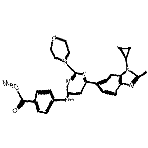 COC(=O)c1ccc(Nc2cc(-c3ccc4nc(C)n(C5CC5)c4c3)nc(N3CCOCC3)n2)cc1